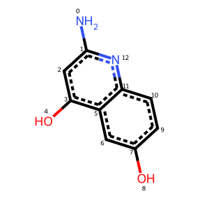 Nc1cc(O)c2cc(O)ccc2n1